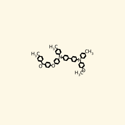 COc1ccc(N(c2ccc(C)cc2)c2ccc(-c3ccc(N(c4ccc(C)cc4)c4ccc(Oc5ccc(C(=O)c6ccc(C)cc6)cc5)cc4)cc3)cc2)cc1